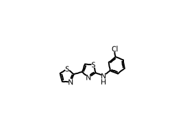 Clc1cccc(Nc2nc(-c3nccs3)cs2)c1